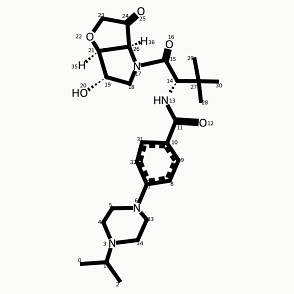 CC(C)N1CCN(c2ccc(C(=O)N[C@H](C(=O)N3C[C@H](O)[C@H]4OCC(=O)[C@H]43)C(C)(C)C)cc2)CC1